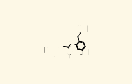 C=CCc1ccccc1OC(=O)CC(=O)O.CCCC